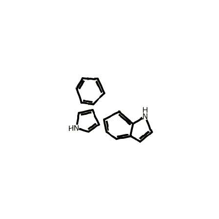 c1cc[nH]c1.c1ccc2[nH]ccc2c1.c1ccccc1